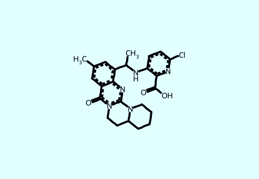 Cc1cc(C(C)Nc2ccc(Cl)nc2C(=O)O)c2nc3n(c(=O)c2c1)CCC1CCCCN31